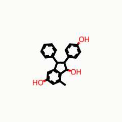 Cc1cc(O)cc2c1C(O)C(c1ccc(O)cc1)C2c1ccccc1